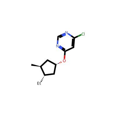 CC[C@H]1C[C@@H](Oc2cc(Cl)ncn2)C[C@@H]1C